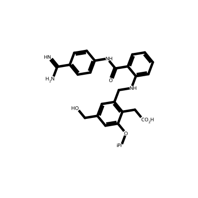 CC(C)Oc1cc(CO)cc(CNc2ccccc2C(=O)Nc2ccc(C(=N)N)cc2)c1CC(=O)O